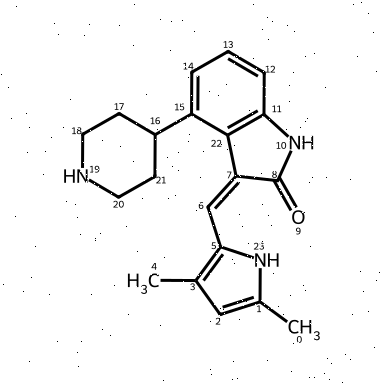 Cc1cc(C)c(C=C2C(=O)Nc3cccc(C4CCNCC4)c32)[nH]1